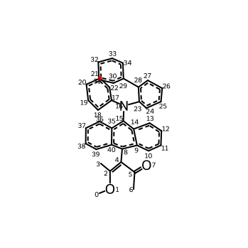 CO/C(C)=C(\C(C)=O)c1c2ccccc2c(N(c2ccccc2)c2ccccc2-c2ccccc2)c2ccccc12